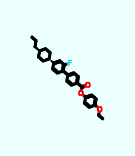 CCC[C@H]1CC[C@H](c2ccc(-c3ccc(C(=O)Oc4ccc(OCC)cc4)cc3)c(F)c2)CC1